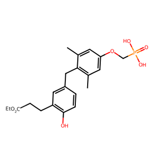 CCOC(=O)CCc1cc(Cc2c(C)cc(OCP(=O)(O)O)cc2C)ccc1O